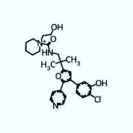 CC(C)(CNC(=O)[N+]1(CCO)CCCCC1)c1cc(-c2ccc(Cl)c(O)c2)c(-c2ccncc2)o1